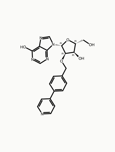 OC[C@H]1O[C@@H](n2cnc3c(O)ncnc32)[C@H](OCc2ccc(-c3ccncc3)cc2)[C@@H]1O